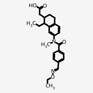 CCON=Cc1ccc(C(=O)N(C)c2ccc3c(c2)C(CC)C(CC(=O)O)CC3)cc1